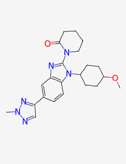 COC1CCC(n2c(N3CCCCC3=O)nc3cc(-c4cnn(C)n4)ccc32)CC1